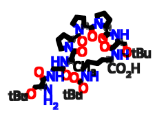 C[C@H](NC(=O)CNC(=O)[C@@H](N)COC(C)(C)C)C(=O)N1CCC[C@H]1C(=O)N1CCC[C@H]1C(=O)N1CCC[C@H]1C(=O)N[C@@H](COC(C)(C)C)C(=O)N[C@@H](CCCCNC(=O)OC(C)(C)C)C(=O)O